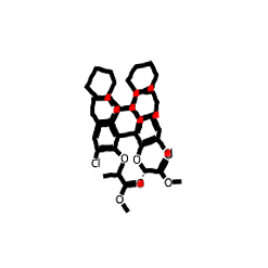 COC(=O)C(C)Oc1c(Cl)ccc(P(C2CCCCC2)C2CCCCC2)c1-c1c(P(C2CCCCC2)C2CCCCC2)ccc(Cl)c1O[C@@H](C)C(=O)OC